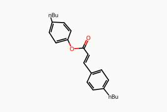 CCCCc1ccc(C=CC(=O)Oc2ccc(CCCC)cc2)cc1